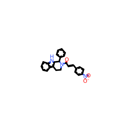 O=C(C=Cc1ccc([N+](=O)[O-])cc1)N1CCc2c([nH]c3ccccc23)C1c1ccccc1